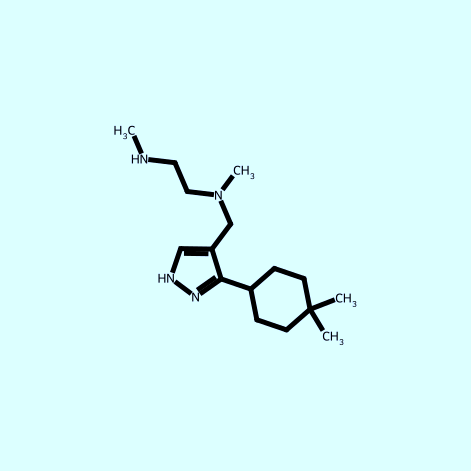 CNCCN(C)Cc1c[nH]nc1C1CCC(C)(C)CC1